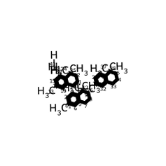 Cc1ccc2c(c1)CCCC2(C)C.Cc1ccc2c(c1)CCCC2(C)C.Cc1ccc2c(c1)CCCC2(C)C.I.I.I